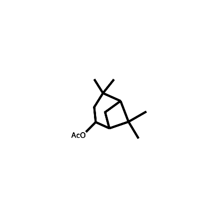 CC(=O)OC1CC(C)(C)C2CC1C2(C)C